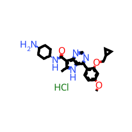 COc1ccc(-c2ncnc3c(C(=O)N[C@H]4CC[C@H](N)CC4)c(C)[nH]c23)c(OCC2CC2)c1.Cl